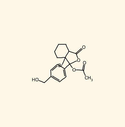 CC(=O)OC1(c2ccc(CO)cc2)OC(=O)C2CCCCC21Br